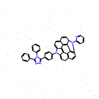 C1=CC2c3c4c(ccc5c4c4c(n(-c6ccc(-c7nnc(-c8ccccc8)n7-c7ccccc7)cc6)c6ccc1c3c46)=CC5)N2c1ccccn1